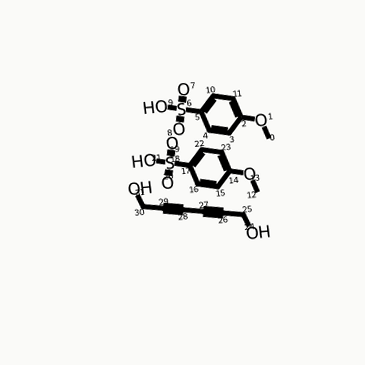 COc1ccc(S(=O)(=O)O)cc1.COc1ccc(S(=O)(=O)O)cc1.OCC#CC#CCO